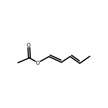 CC=CC=COC(C)=O